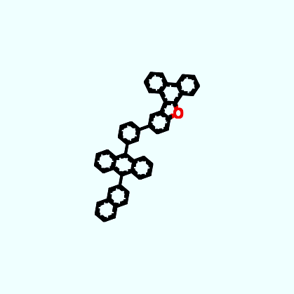 c1cc(-c2ccc3oc4c5ccccc5c5ccccc5c4c3c2)cc(-c2c3ccccc3c(-c3ccc4ccccc4c3)c3ccccc23)c1